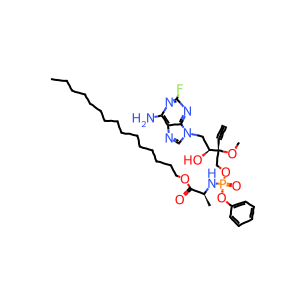 C#C[C@](COP(=O)(N[C@@H](C)C(=O)OCCCCCCCCCCCCCCC)Oc1ccccc1)(OC)[C@@H](O)Cn1cnc2c(N)nc(F)nc21